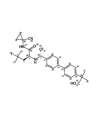 CC(C)(F)C[C@H](N[C@@H](c1ccc(-c2ccc(C(C)(C)C(=O)O)cc2)cc1)C(F)(F)F)C(=O)NC1(C#N)CC1